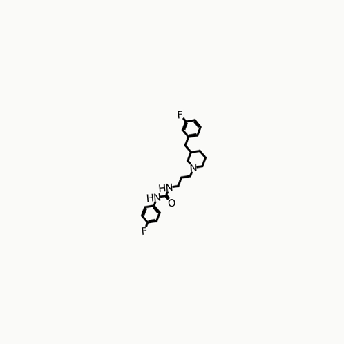 O=C(NCCCN1CCCC(Cc2cccc(F)c2)C1)Nc1ccc(F)cc1